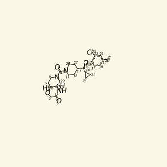 O=C1CO[C@H]2CCN(C(=O)N3CCC(C(Oc4ccc(F)cc4Cl)C4CC4)CC3)C[C@H]2N1